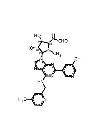 Cc1cncc(-c2nc(NCc3cc(C)ccn3)c3ncn([C@H]4[C@H](O)[C@H](O)[C@@H](NC=O)N4C)c3n2)c1